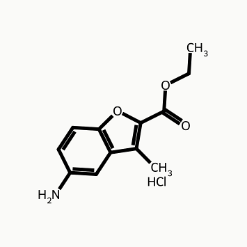 CCOC(=O)c1oc2ccc(N)cc2c1C.Cl